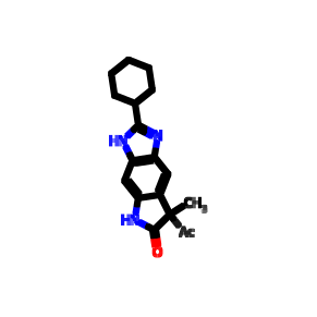 CC(=O)C1(C)C(=O)Nc2cc3[nH]c(C4CCCCC4)nc3cc21